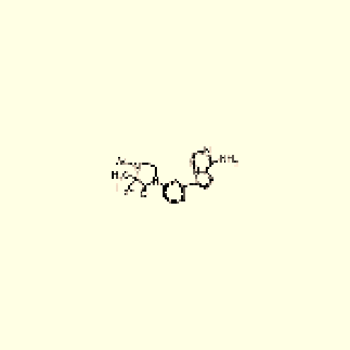 CC(=O)N1CCN(c2cccc(-c3ccc4c(N)ncnn34)c2)C(=O)C1(C)C